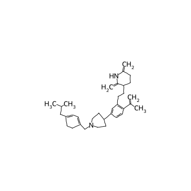 C=C1CCC(CCc2cc(C3CCN(CC4=CC=C(CC(C)C)CC4)CC3)ccc2C(=C)C)C(=C)N1